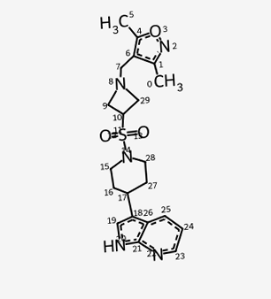 Cc1noc(C)c1CN1CC(S(=O)(=O)N2CCC(c3c[nH]c4ncccc34)CC2)C1